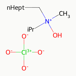 CCCCCCCC[N+](C)(O)C(C)C.[O-][Cl+3]([O-])([O-])[O-]